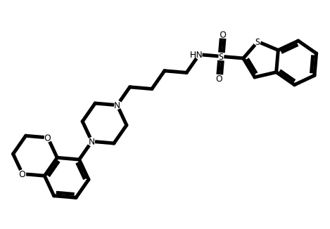 O=S(=O)(NCCCCN1CCN(c2cccc3c2OCCO3)CC1)c1cc2ccccc2s1